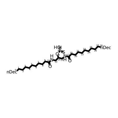 CCCCCCCCCCCCCCCCCCCC(=O)NCC(CNC(=O)CCCCCCCCCCCCCCCCCCC)O[PH](O)=S